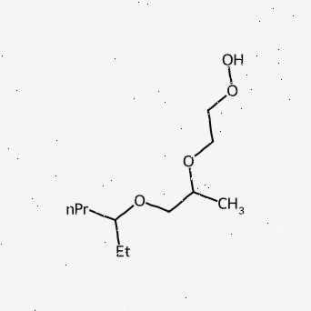 CCCC(CC)OCC(C)OCCOO